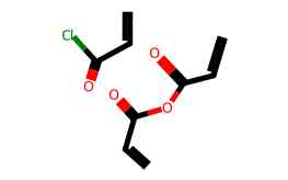 C=CC(=O)Cl.C=CC(=O)OC(=O)C=C